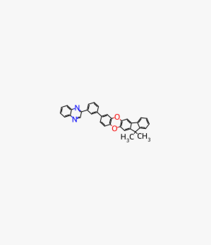 CC1(C)c2ccccc2-c2cc3c(cc21)Oc1ccc(-c2cccc(-c4cnc5ccccc5n4)c2)cc1O3